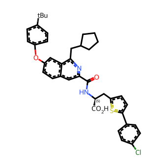 CC(C)(C)c1ccc(Oc2ccc3cc(C(=O)N[C@@H](Cc4ccc(-c5ccc(Cl)cc5)s4)C(=O)O)nc(CC4CCCC4)c3c2)cc1